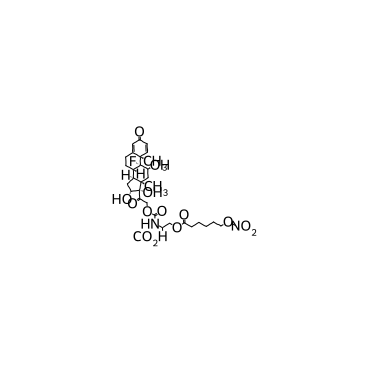 C[C@]12C=CC(=O)C=C1CC[C@H]1[C@@H]3C[C@@H](O)[C@](O)(C(=O)COC(=O)NC(COC(=O)CCCCCO[N+](=O)[O-])C(=O)O)[C@@]3(C)C[C@H](O)[C@@]12F